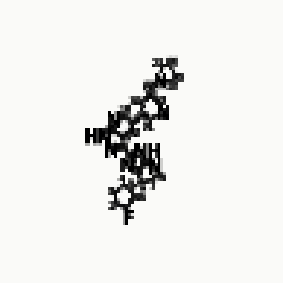 Fc1cccc(-c2ccnc3[nH]c(-c4n[nH]c5ncc(-c6cncc(CN7CCCC7)c6)cc45)nc23)c1